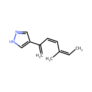 C=C(/C=C\C(C)=C/C)c1cn[nH]c1